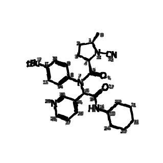 C[C@@H]1CC[C@H](C(=O)N(c2ccc(C(C)(C)C)cc2)C(C(=O)NC2CCCCC2)c2cccnc2)N1C#N